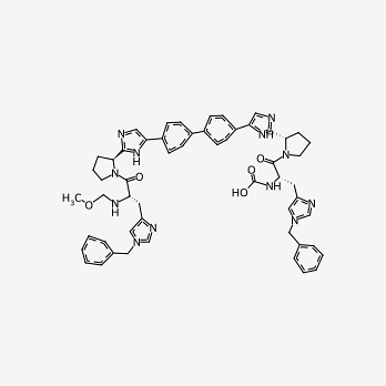 COCN[C@@H](Cc1cn(Cc2ccccc2)cn1)C(=O)N1CCC[C@H]1c1ncc(-c2ccc(-c3ccc(-c4cnc([C@@H]5CCCN5C(=O)[C@H](Cc5cn(Cc6ccccc6)cn5)NC(=O)O)[nH]4)cc3)cc2)[nH]1